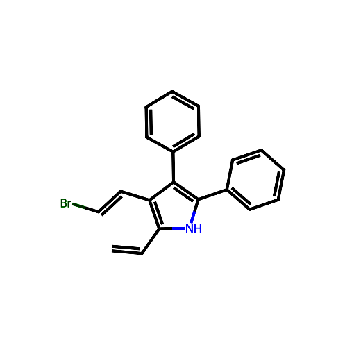 C=Cc1[nH]c(-c2ccccc2)c(-c2ccccc2)c1/C=C/Br